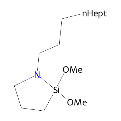 CCCCCCCCCCN1CCC[Si]1(OC)OC